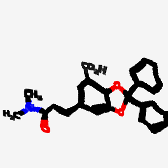 CN(C)C(=O)/C=C/c1cc2c(c(C(=O)O)c1)OC(c1ccccc1)(c1ccccc1)O2